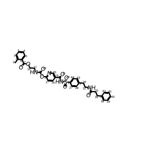 Cc1ccccc1C(=O)OCCNC(=O)Oc1ccc(C(=O)NS(=O)(=O)c2ccc(CCNC(=O)CCc3ccccc3)cc2)cn1